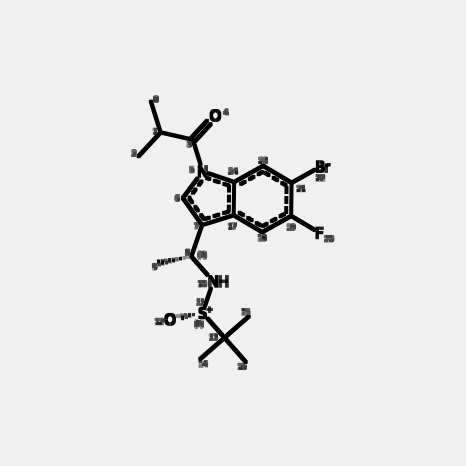 CC(C)C(=O)n1cc([C@@H](C)N[S@@+]([O-])C(C)(C)C)c2cc(F)c(Br)cc21